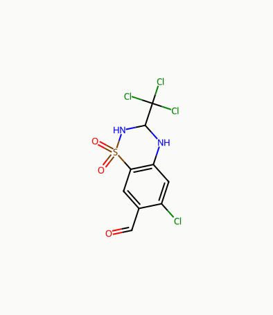 O=Cc1cc2c(cc1Cl)NC(C(Cl)(Cl)Cl)NS2(=O)=O